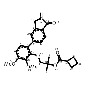 COc1ccc(-c2ccc3c(c2)CNC3=O)c(OCC(C)(C)OC(=O)C2CCC2)c1OC